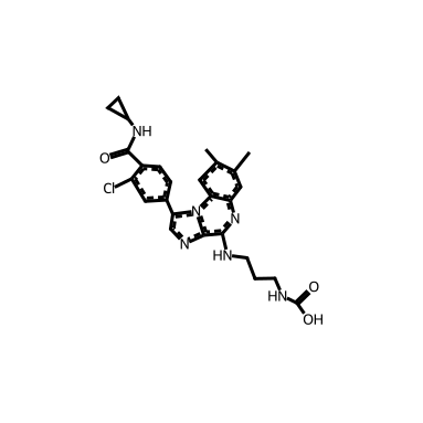 Cc1cc2nc(NCCCNC(=O)O)c3ncc(-c4ccc(C(=O)NC5CC5)c(Cl)c4)n3c2cc1C